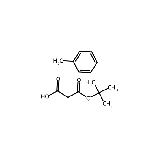 CC(C)(C)OC(=O)CC(=O)O.Cc1ccccc1